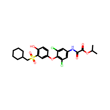 CC(C)OC(=O)C(=O)Nc1cc(Cl)c(Oc2ccc(O)c(S(=O)(=O)CC3CCCCC3)c2)c(Cl)c1